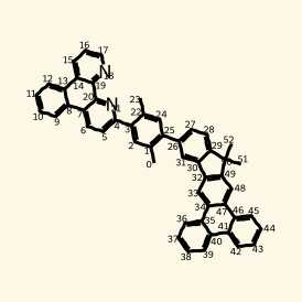 Cc1cc(-c2ccc3c4ccccc4c4cccnc4c3n2)c(C)cc1-c1ccc2c(c1)-c1cc3c4ccccc4c4ccccc4c3cc1C2(C)C